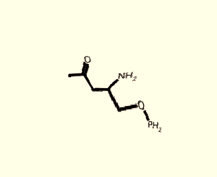 CC(=O)CC(N)COP